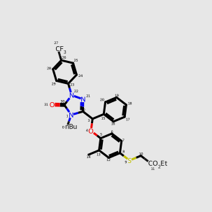 CCCCn1c(C(Oc2ccc(SCC(=O)OCC)cc2C)c2ccccc2)nn(-c2ccc(C(F)(F)F)cc2)c1=O